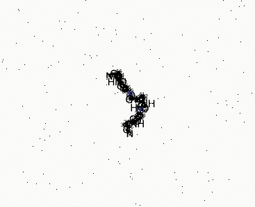 C/C(=N\OC(=O)NCC1(C)CC(NC(=O)O/N=C(\C)c2ccc(OC(=O)Nc3ccc(C)c(OC#N)c3)cc2)CC(C)(C)C1)c1ccc(OC(=O)Nc2ccc(C)c(OC#N)c2)cc1